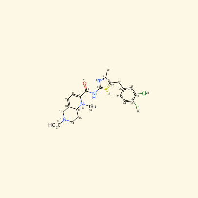 Cc1nc(NC(=O)C2=CC=C3CN(C(=O)O)CCC3N2C(C)(C)C)sc1Cc1ccc(Cl)c(Cl)c1